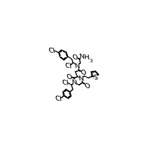 NC(=O)CN(C(=O)CC1C(=O)N(C(Cl)Cc2ccc(Cl)cc2)CC(=O)N1CCc1cccs1)C(Cl)Cc1ccc(Cl)cc1